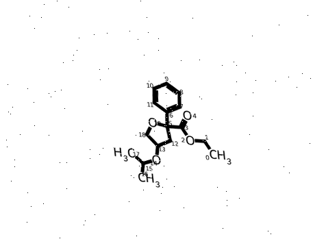 CCOC(=O)C1(c2ccccc2)CC(OC(C)C)CO1